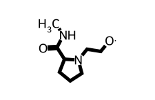 CNC(=O)C1CCCN1CC[O]